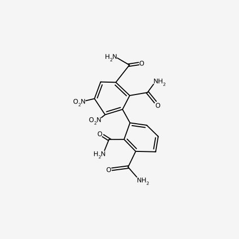 NC(=O)c1cccc(-c2c(C(N)=O)c(C(N)=O)cc([N+](=O)[O-])c2[N+](=O)[O-])c1C(N)=O